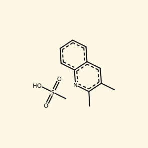 CS(=O)(=O)O.Cc1cc2ccccc2nc1C